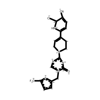 N#CC1=CC=C(C2=CCN(c3ncn(Cc4ccc(C(F)(F)F)s4)c(=O)n3)CC2)NC1Cl